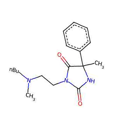 CCCCN(C)CCN1C(=O)NC(C)(c2ccccc2)C1=O